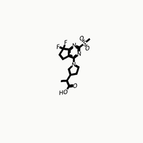 CC(C(=O)O)C1CCN(c2nc(S(C)(=O)=O)nc3c2CCC3(F)F)C1